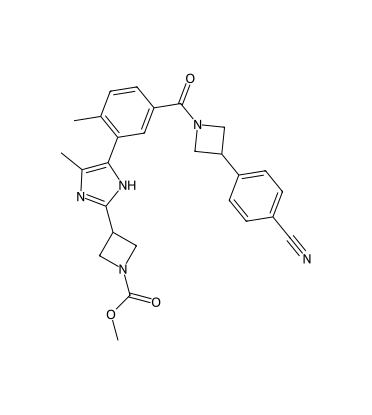 COC(=O)N1CC(c2nc(C)c(-c3cc(C(=O)N4CC(c5ccc(C#N)cc5)C4)ccc3C)[nH]2)C1